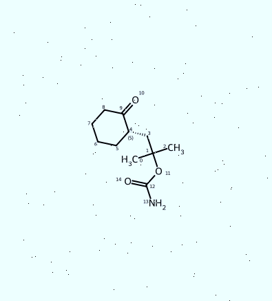 CC(C)(C[C@@H]1CCCCC1=O)OC(N)=O